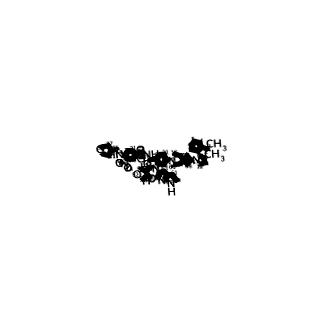 CC(C)c1ccccc1[C@@H]1CCCN1C1CC2(CCN(c3ccc(C(=O)NS(=O)(=O)c4ccc(NCC5CCOCC5)c([N+](=O)[O-])c4)c(N4C[C@@H]5COC[C@@H]5Oc5nc6[nH]ccc6cc54)c3)CC2)C1